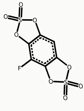 O=S1(=O)Oc2cc3c(c(F)c2O1)OS(=O)(=O)O3